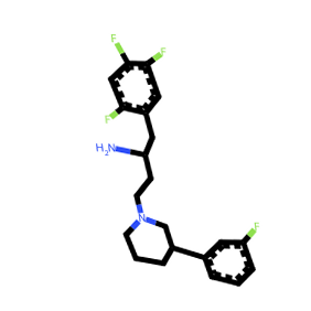 NC(CCN1CCCC(c2cccc(F)c2)C1)Cc1cc(F)c(F)cc1F